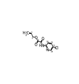 C=CCOC(=O)C(=O)Nc1ccc(Cl)cn1